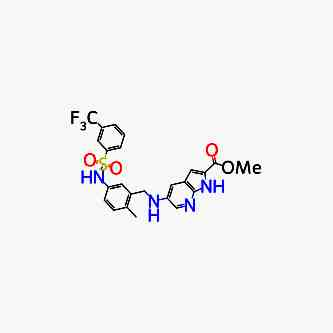 COC(=O)c1cc2cc(NCc3cc(NS(=O)(=O)c4cccc(C(F)(F)F)c4)ccc3C)cnc2[nH]1